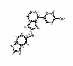 Oc1ccc(-c2nccn3nc(Nc4ccc5nsnc5c4)nc23)cn1